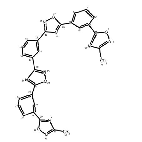 Cc1noc(-c2cccc(-c3nc(-c4cccc(-c5noc(-c6cccc(-c7nc(C)no7)c6)n5)c4)no3)c2)n1